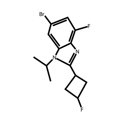 CC(C)n1c(C2CC(F)C2)nc2c(F)cc(Br)cc21